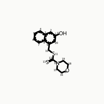 Oc1[c]c2ccccc2c(CSC(=S)N2CCOCC2)c1